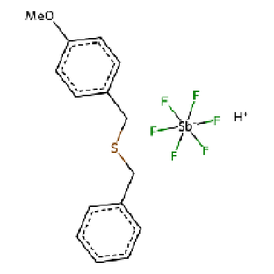 COc1ccc(CSCc2ccccc2)cc1.[F][Sb-]([F])([F])([F])([F])[F].[H+]